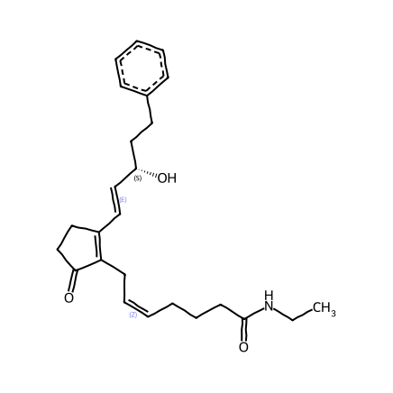 CCNC(=O)CCC/C=C\CC1=C(/C=C/[C@@H](O)CCc2ccccc2)CCC1=O